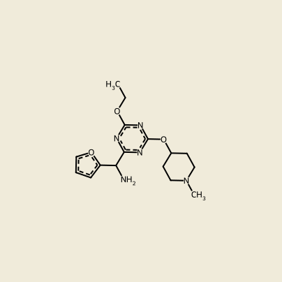 CCOc1nc(OC2CCN(C)CC2)nc(C(N)c2ccco2)n1